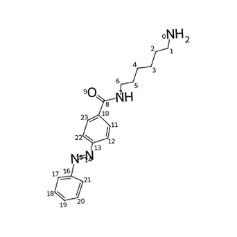 NCCCCCCNC(=O)c1ccc(/N=N/c2ccccc2)cc1